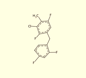 Cc1c(F)cc(Cc2ccc(F)cc2F)c(F)c1Cl